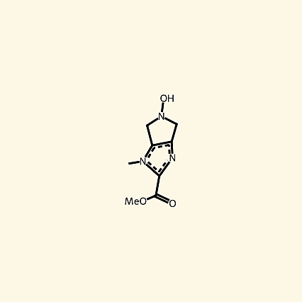 COC(=O)c1nc2c(n1C)CN(O)C2